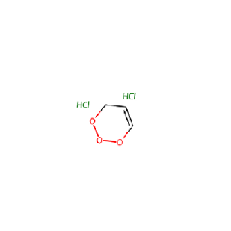 C1=COOOC1.Cl.Cl